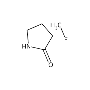 CF.O=C1CCCN1